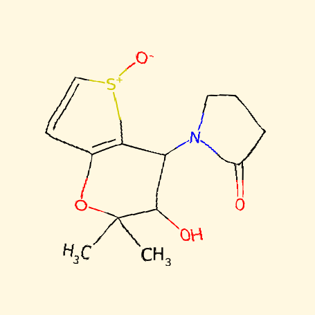 CC1(C)Oc2cc[s+]([O-])c2C(N2CCCC2=O)C1O